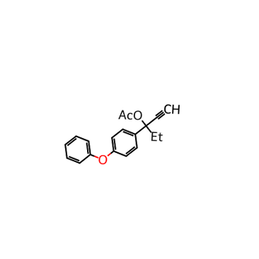 C#CC(CC)(OC(C)=O)c1ccc(Oc2ccccc2)cc1